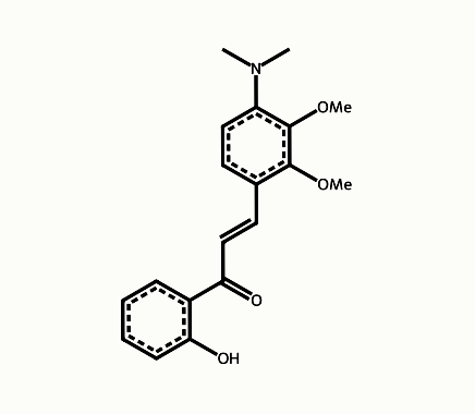 COc1c(C=CC(=O)c2ccccc2O)ccc(N(C)C)c1OC